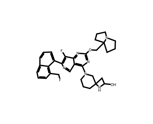 OC1CC2(CCCN(c3nc(OCC45CCCN4CCC5)nc4c(F)c(-c5cccc6cccc(CF)c56)ncc34)C2)N1